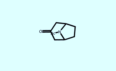 CC(=O)N1C2CCC1CC(=O)C2